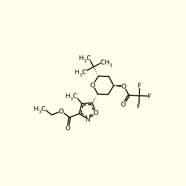 CCOC(=O)c1noc([C@H]2C[C@H](OC(=O)C(F)(F)F)C[C@@H](C(C)(C)C)O2)c1C